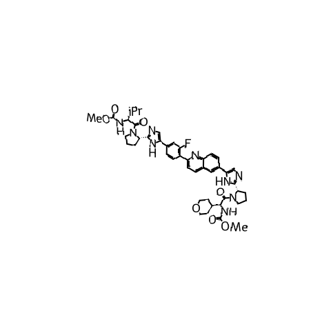 COC(=O)N[C@H](C(=O)N1CCC[C@H]1c1ncc(-c2ccc(-c3ccc4cc(-c5cnc([C@@H]6CCCN6C(=O)[C@@H](NC(=O)OC)C6CCOCC6)[nH]5)ccc4n3)c(F)c2)[nH]1)C(C)C